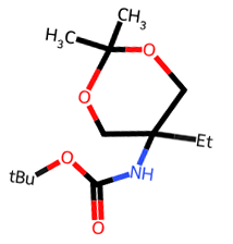 CCC1(NC(=O)OC(C)(C)C)COC(C)(C)OC1